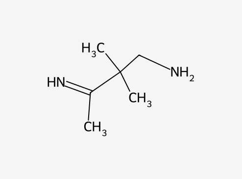 CC(=N)C(C)(C)CN